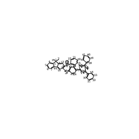 CC1(C)c2ccccc2-c2cc3c(cc21)P(=O)(c1ccccc1)c1cc(-c2nc(-c4ccccc4)nc(-c4ccccc4)n2)ccc1S3